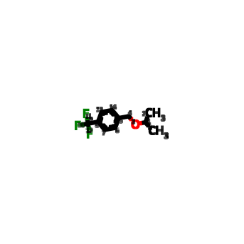 CC(C)OCc1ccc(C(F)(F)F)cc1